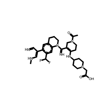 CN/C=C(\C=N)c1cc2c(cc1C(F)F)N(C(=N)C1=C(NC3CCN(CC(=O)O)CC3)CCN(C(C)=O)C1)CCC2